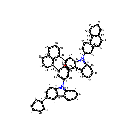 c1ccc(-c2ccc3c(c2)c2ccccc2n3-c2cccc(-c3cccc4cccc(-c5ccc6c7ccccc7n(-c7ccc8c(ccc9ccccc98)c7)c6c5)c34)c2)cc1